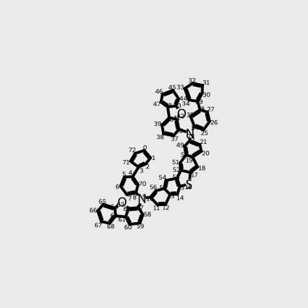 c1ccc(-c2cccc(N(c3ccc4cc5sc6cc7ccc(N(c8cccc(-c9ccccc9)c8)c8cccc9c8oc8ccccc89)cc7cc6c5cc4c3)c3cccc4c3oc3ccccc34)c2)cc1